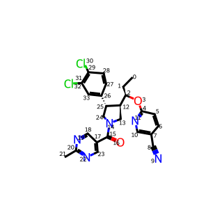 CC[C@@H](Oc1ccc(C#N)cn1)[C@H]1CN(C(=O)c2cnc(C)nc2)C[C@@H]1c1ccc(Cl)c(Cl)c1